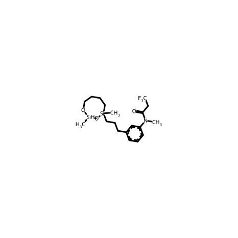 CN(C(=O)CC(F)(F)F)c1cccc(CCC[Si]2(C)CCCCO[SiH](C)O2)c1